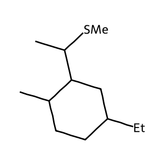 CCC1CCC(C)C(C(C)SC)C1